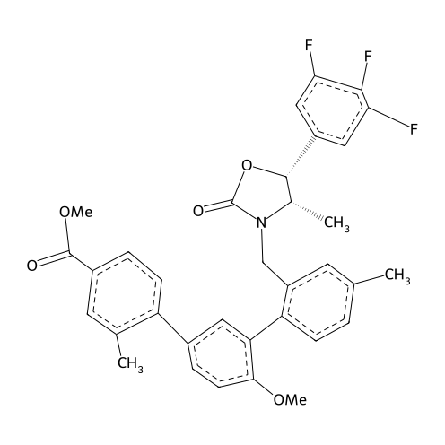 COC(=O)c1ccc(-c2ccc(OC)c(-c3ccc(C)cc3CN3C(=O)O[C@H](c4cc(F)c(F)c(F)c4)[C@@H]3C)c2)c(C)c1